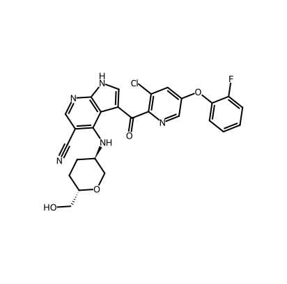 N#Cc1cnc2[nH]cc(C(=O)c3ncc(Oc4ccccc4F)cc3Cl)c2c1N[C@@H]1CC[C@@H](CO)OC1